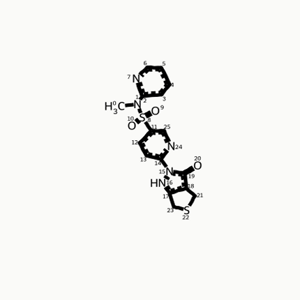 CN(c1ccccn1)S(=O)(=O)c1ccc(-n2[nH]c3c(c2=O)CSC3)nc1